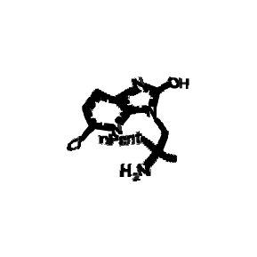 CCCCCC(C)(N)Cn1c(O)nc2ccc(Cl)nc21